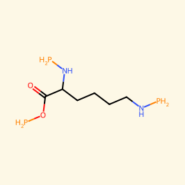 O=C(OP)C(CCCCNP)NP